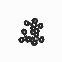 c1ccc(B2c3ccccc3N(c3ccccc3)c3cc4ccc5c6c(cc7ccc(c32)c4c75)B(c2ccccc2)c2cccc3c4cc5c7ccccc7n(-c7ccccc7)c5cc4n-6c23)cc1